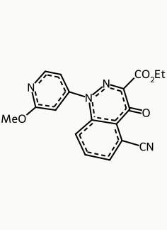 CCOC(=O)c1nn(-c2ccnc(OC)c2)c2cccc(C#N)c2c1=O